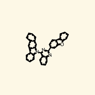 c1ccc2cc3c(cc2c1)c1ccccc1n3-c1nc(-c2ccc3c(c2)oc2ccccc23)nc2ccccc12